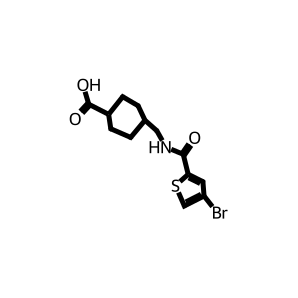 O=C(NCC1CCC(C(=O)O)CC1)c1cc(Br)cs1